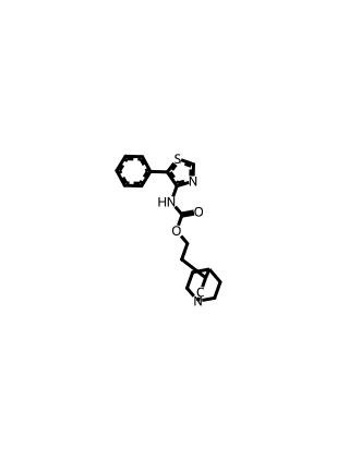 O=C(Nc1ncsc1-c1ccccc1)OCCC1CN2CCC1CC2